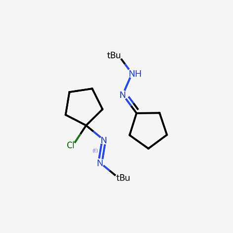 CC(C)(C)/N=N/C1(Cl)CCCC1.CC(C)(C)NN=C1CCCC1